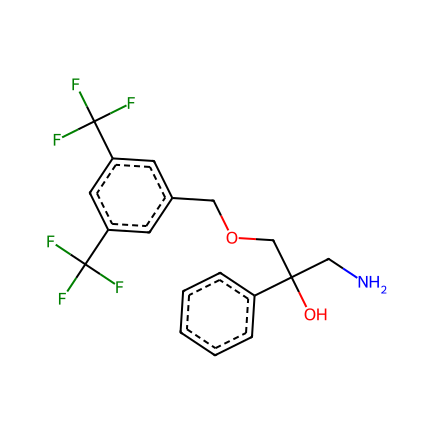 NCC(O)(COCc1cc(C(F)(F)F)cc(C(F)(F)F)c1)c1ccccc1